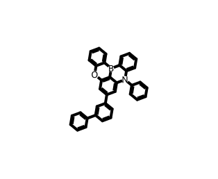 c1ccc(-c2cccc(-c3cc4c5c(c3)N(c3ccccc3)c3ccccc3B5c3ccccc3O4)c2)cc1